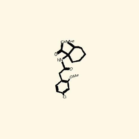 COC(=O)C1(NC(=O)Cc2ccc(Cl)cc2OC)CCCCC1C